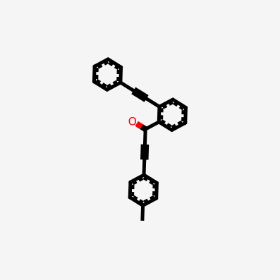 Cc1ccc(C#CC(=O)c2ccccc2C#Cc2ccccc2)cc1